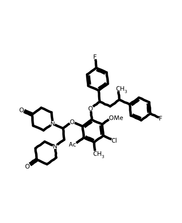 COc1c(Cl)c(C)c(C(C)=O)c(OC(CN2CCC(=O)CC2)N2CCC(=O)CC2)c1OC(CC(C)c1ccc(F)cc1)c1ccc(F)cc1